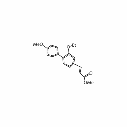 CCOc1cc(C=CC(=O)OC)ccc1-c1ccc(OC)cc1